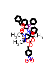 C=CC(=S)CC1(C(C)OC(=O)OCc2ccc([N+](=O)[O-])cc2)C(=O)N(C(C(=O)OCc2ccccc2)=P(c2ccccc2)(c2ccccc2)c2ccccc2)[C@@H]1NC(C)=O